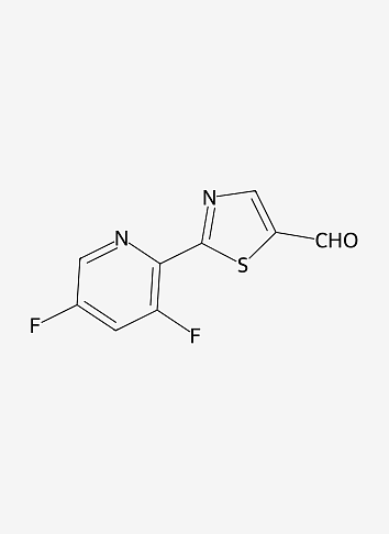 O=Cc1cnc(-c2ncc(F)cc2F)s1